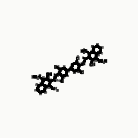 Nc1c(/N=N/c2c(Cl)cc(-c3cc(Cl)c(/N=N/c4c(O)c(S(=O)(=O)O)c5ccccc5c4N)c(Cl)c3)cc2Cl)c(O)c(S(=O)(=O)O)c2ccccc12